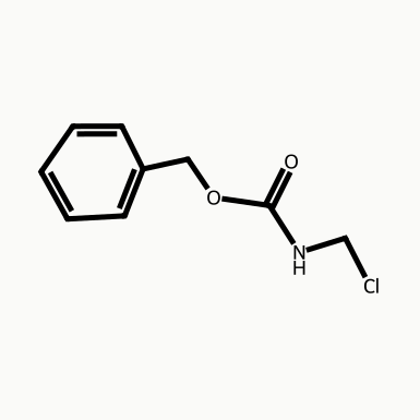 O=C(NCCl)OCc1ccccc1